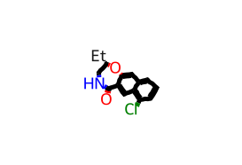 CC[C@@H]1CNC(=O)c2cc3c(Cl)cccc3cc2O1